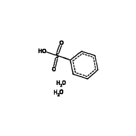 O.O.O=S(=O)(O)c1ccccc1